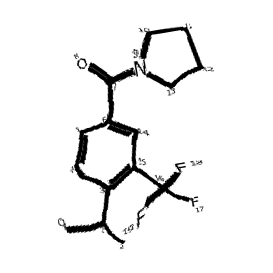 CC(C)c1ccc(C(=O)N2CCCC2)cc1C(F)(F)F